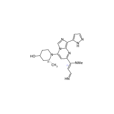 CN/C(=C\C=N)c1cc(N2CCC(O)C[C@H]2C)n2cnc(-c3ccn[nH]3)c2n1